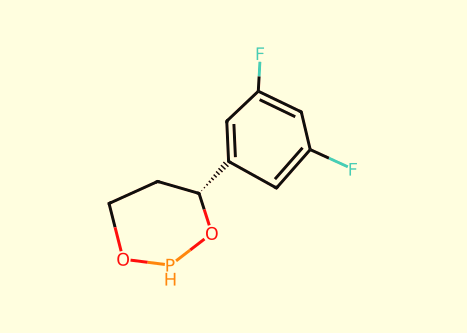 Fc1cc(F)cc([C@H]2CCOPO2)c1